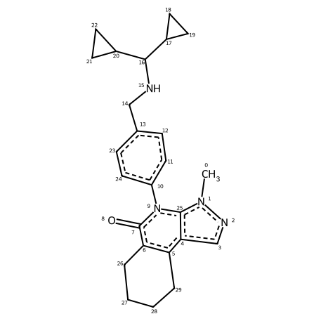 Cn1ncc2c3c(c(=O)n(-c4ccc(CNC(C5CC5)C5CC5)cc4)c21)CCCC3